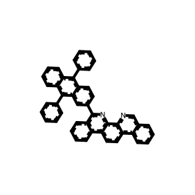 c1ccc(-c2c3ccccc3c(-c3ccccc3)c3cc(-c4nc5c(ccc6c7ccccc7cnc65)c5ccccc45)ccc23)cc1